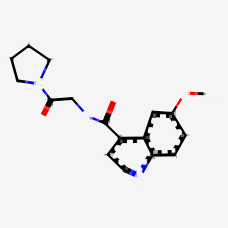 COc1ccc2nccc(C(=O)NCC(=O)N3CCCC3)c2c1